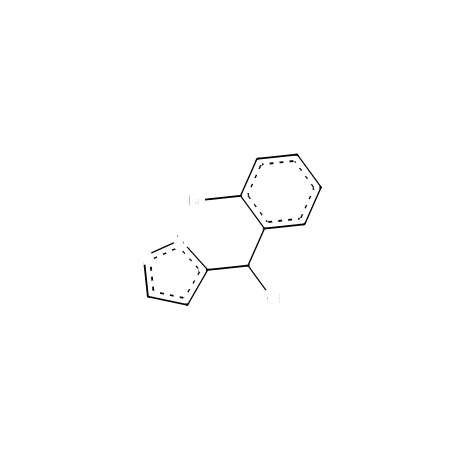 OC(c1ccon1)c1ccccc1Br